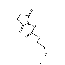 O=C(OCCO)ON1C(=O)CCC1=O